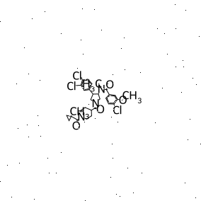 COc1cc(C(=O)N(C)C2CN(C(=O)C3CCN(C(=O)C4(C)CC4)CC3)CC2c2ccc(Cl)c(Cl)c2)ccc1Cl